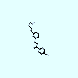 N#Cc1ccc(C(=O)C=Cc2cccc(OCCC(=O)O)c2)cc1